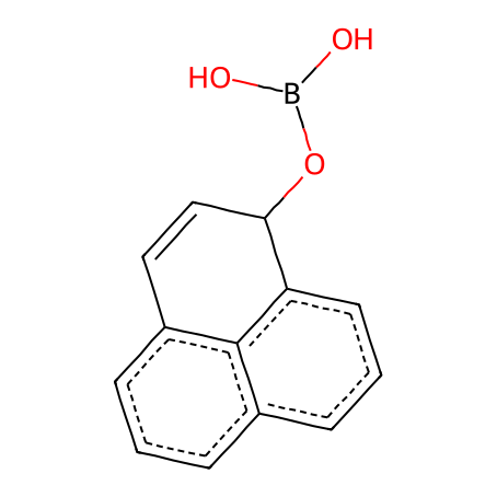 OB(O)OC1C=Cc2cccc3cccc1c23